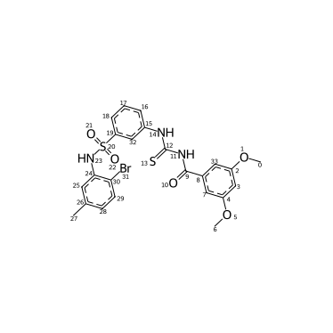 COc1cc(OC)cc(C(=O)NC(=S)Nc2cccc(S(=O)(=O)Nc3cc(C)ccc3Br)c2)c1